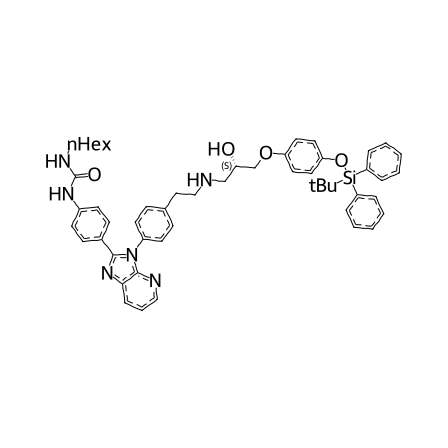 CCCCCCNC(=O)Nc1ccc(-c2nc3cccnc3n2-c2ccc(CCNC[C@H](O)COc3ccc(O[Si](c4ccccc4)(c4ccccc4)C(C)(C)C)cc3)cc2)cc1